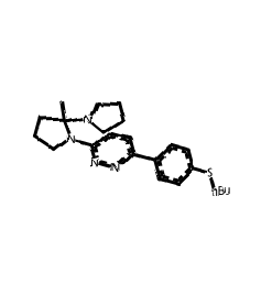 CCCCSc1ccc(-c2ccc(N3CCCC3(C)N3CCCC3)nn2)cc1